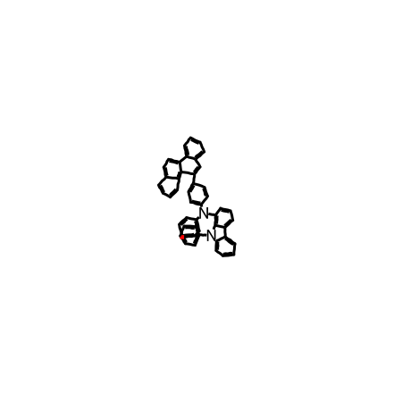 c1ccc(N(c2ccc(-c3cc4ccccc4c4ccc5ccccc5c34)cc2)c2cccc3c4ccccc4n(-c4ccccc4)c23)cc1